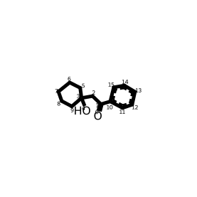 O=C(CC1(O)CCCCC1)c1ccccc1